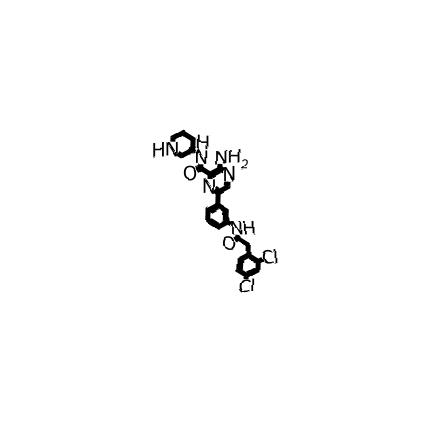 Nc1ncc(-c2cccc(NC(=O)Cc3ccc(Cl)cc3Cl)c2)nc1C(=O)N[C@H]1CCCNC1